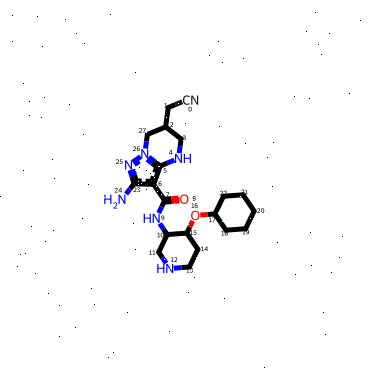 N#CCC1CNc2c(C(=O)NC3CNCCC3OC3CCCCC3)c(N)nn2C1